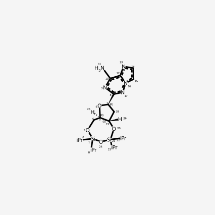 CC(C)[Si]1(C(C)C)OC[C@H]2O[C@@H](c3nc(N)c4nccn4n3)C[C@@H]2O[Si](C(C)C)(C(C)C)O1